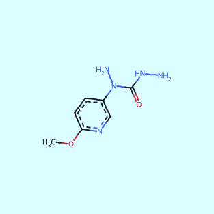 COc1ccc(N(N)C(=O)NN)cn1